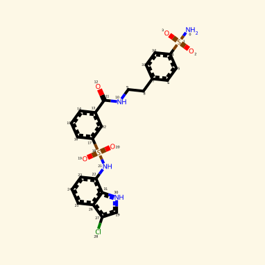 NS(=O)(=O)c1ccc(CCNC(=O)c2cccc(S(=O)(=O)Nc3cccc4c(Cl)c[nH]c34)c2)cc1